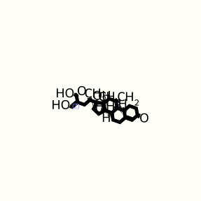 C=C1C[C@@]2(C)[C@@H](CC[C@@]2(O)C(=C)C/C(=C/O)C(=O)O)[C@@H]2CCC3=CC(=O)CC[C@@H]3[C@@H]12